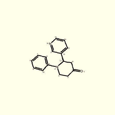 O=C1CCN(c2ccccc2)C(c2cccnc2)C1